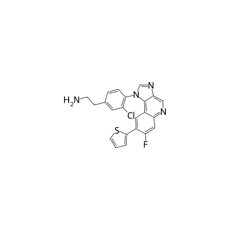 NCCc1ccc(-n2cnc3cnc4cc(F)c(-c5cccs5)cc4c32)c(Cl)c1